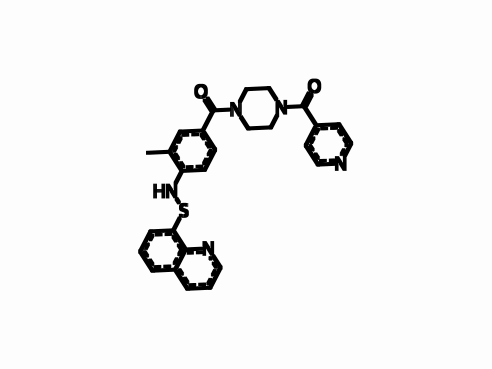 Cc1cc(C(=O)N2CCN(C(=O)c3ccncc3)CC2)ccc1NSc1cccc2cccnc12